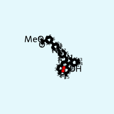 COC(=O)c1cccc(-c2cnc(N3CCC(c4nc5c(c(C6CCC(F)(F)CC6)c4[C@@H](F)c4ccc(C)cc4)[C@@H](O)CC(C)(C)C5)CC3)nc2)c1